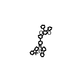 CC1(C)c2ccccc2-c2ccc(N(c3ccc(-c4ccc5oc6c(-c7ccccc7)c7c(cc6c5c4)oc4ccccc47)cc3)c3cccc4c3oc3ccccc34)cc21